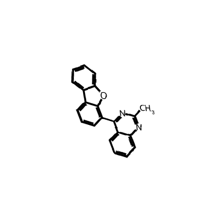 Cc1nc(-c2cccc3c2oc2ccccc23)c2ccccc2n1